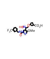 COc1cnc(C(=O)NCc2cccc(C(F)(F)F)c2)cc1/C(COC1CCC(C(=O)O)C1)=N\O